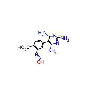 Nc1nc(N)c(-c2ccc(C(=O)O)c(N=NO)c2)c(N)n1